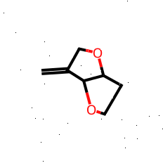 C=C1COC2CCOC12